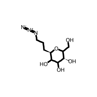 [N-]=[N+]=NCCC[C@H]1OC(CO)[C@H](O)C(O)C1O